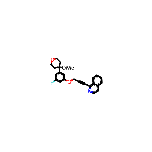 COC1(c2cc(F)cc(OCC#Cc3nccc4ccccc34)c2)CCOCC1